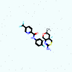 C[C@H]1C[C@@]2(F)CSC(N)=N[C@@]2(c2cc(NC(=O)c3ccc(C(F)F)cn3)ccc2F)CO1